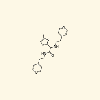 Cc1ccc(C(NCCc2ccncc2)C(=O)NCCc2ccncc2)s1